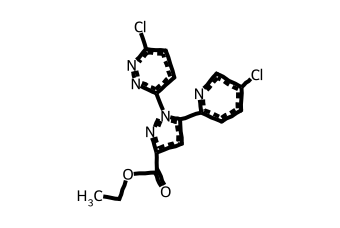 CCOC(=O)c1cc(-c2ccc(Cl)cn2)n(-c2ccc(Cl)nn2)n1